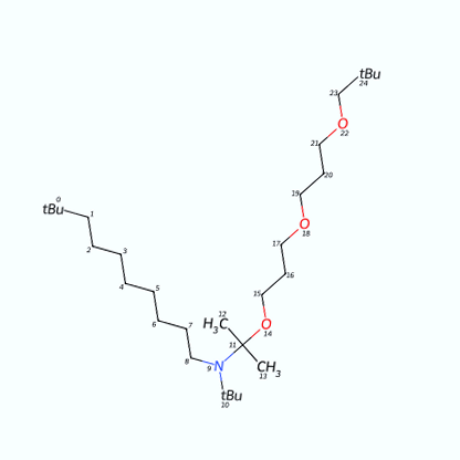 CC(C)(C)CCCCCCCCN(C(C)(C)C)C(C)(C)OCCCOCCCOCC(C)(C)C